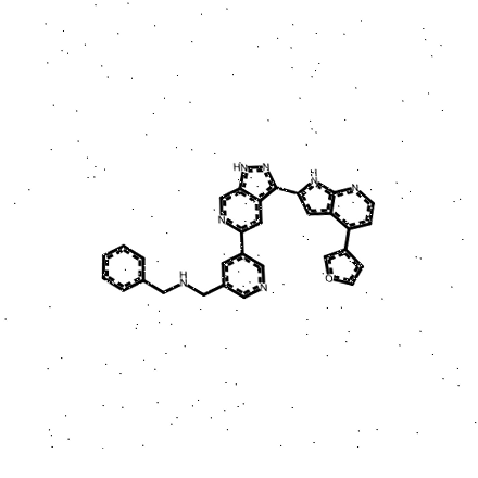 c1ccc(CNCc2cncc(-c3cc4c(-c5cc6c(-c7ccoc7)ccnc6[nH]5)n[nH]c4cn3)c2)cc1